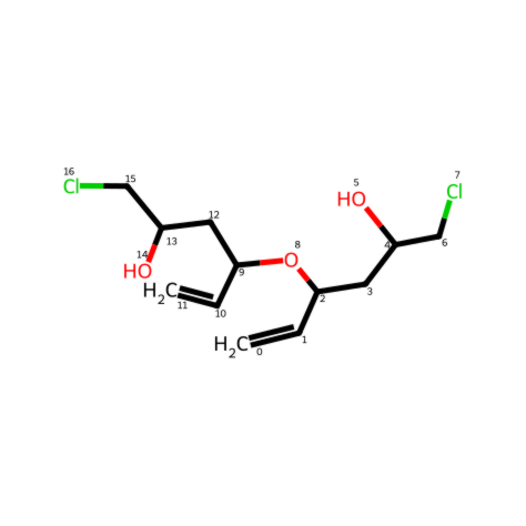 C=CC(CC(O)CCl)OC(C=C)CC(O)CCl